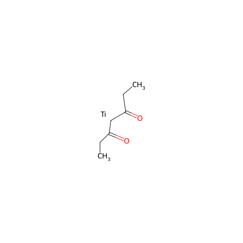 CCC(=O)CC(=O)CC.[Ti]